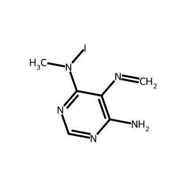 C=Nc1c(N)ncnc1N(C)I